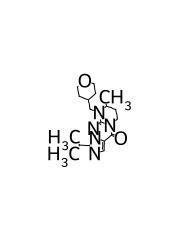 CC(C)c1ncc2c(=O)n3c(nn12)N(CC1CCOCC1)C(C)CC3